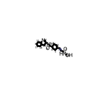 O=C(/C=C/c1ccc(C(=O)Nc2cnc3ccccc3c2)cc1)NO